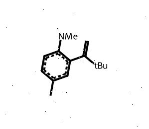 C=C(c1cc(C)ccc1NC)C(C)(C)C